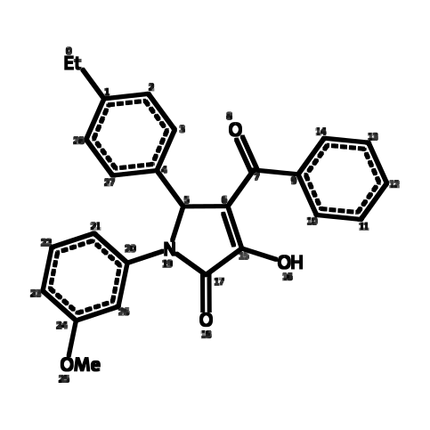 CCc1ccc(C2C(C(=O)c3ccccc3)=C(O)C(=O)N2c2cccc(OC)c2)cc1